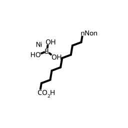 CCCCCCCCCCCCCCCCCC(=O)O.OB(O)O.[Ni]